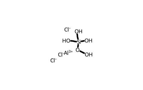 OO[Si](O)(O)O.[Al+3].[Cl-].[Cl-].[Cl-]